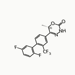 C[C@@H]1OC(=O)NN=C1c1ccc(-c2cc(F)ccc2F)c(C(F)(F)F)c1